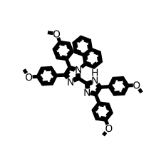 COc1ccc(-c2nc(-c3nc(-c4ccc(OC)cc4)c(-c4ccc(OC)cc4)n3-c3cccc4ccccc34)[nH]c2-c2ccc(OC)cc2)cc1